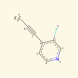 Fc1cnccc1C#CC(F)(F)F